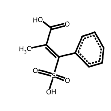 CC(C(=O)O)=C(c1ccccc1)S(=O)(=O)O